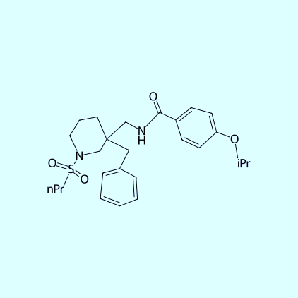 CCCS(=O)(=O)N1CCCC(CNC(=O)c2ccc(OC(C)C)cc2)(Cc2ccccc2)C1